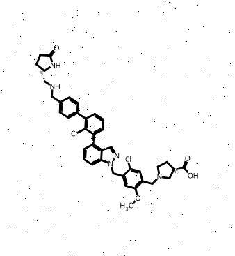 COc1cc(Cn2ncc3c(-c4cccc(-c5ccc(CNC[C@@H]6CCC(=O)N6)cc5)c4Cl)cccc32)c(Cl)cc1CN1CC[C@@H](C(=O)O)C1